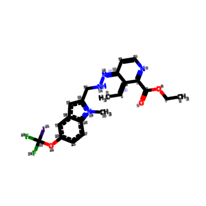 C/C=C1/C(C(=O)OCC)=NC=C/C1=N/NCc1cc2cc(OC(F)(F)I)ccc2n1C